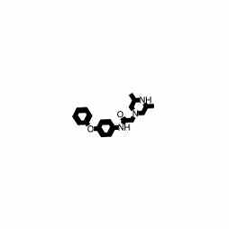 CC1CN(CC(=O)Nc2ccc(Oc3ccccc3)cc2)CC(C)N1